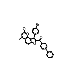 Cc1cc(=O)oc2c1ccc1oc(C(=O)c3ccc(-c4ccccc4)cc3)c(-c3ccc(Br)cc3)c12